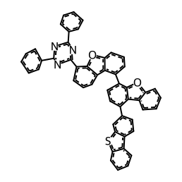 c1ccc(-c2nc(-c3ccccc3)nc(-c3cccc4c3oc3cccc(-c5ccc(-c6ccc7c(c6)sc6ccccc67)c6c5oc5ccccc56)c34)n2)cc1